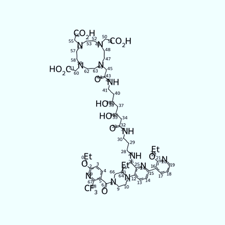 CCOc1ccc(C(=O)N2CCN(c3ccc(-c4cccnc4OCC)nc3CNCCCNC(=O)C[C@H](O)C[C@H](O)CCNC(=O)CN3CCN(CC(=O)O)CCN(CC(=O)O)CCN(CC(=O)O)CC3)[C@H](CC)C2)c(C(F)(F)F)n1